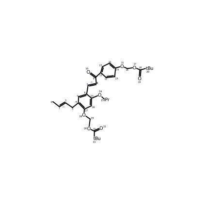 C/C=C/Cc1cc(/C=C/C(=O)c2ccc(OCOC(=O)C(C)(C)C)cc2)c(OC(C)C)cc1OCOC(=O)C(C)(C)C